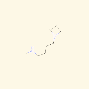 CN[C@@H](C)CCCN1CCC1